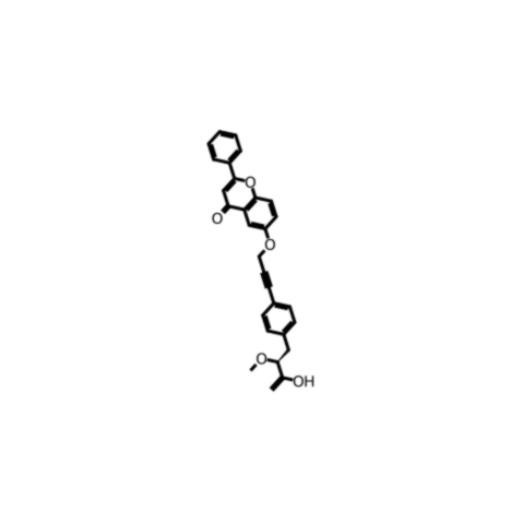 C=C(O)[C@H](Cc1ccc(C#CCOc2ccc3oc(-c4ccccc4)cc(=O)c3c2)cc1)OC